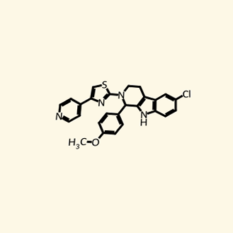 COc1ccc(C2c3[nH]c4ccc(Cl)cc4c3CCN2c2nc(-c3ccncc3)cs2)cc1